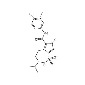 Cc1cc(NC(=O)c2c3c(cn2C)S(=O)(=O)NC(C(C)C)CC3)ccc1F